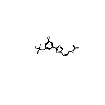 CC(C)OC/C=C\n1cnc(-c2cc(Cl)cc(OC(F)(F)F)c2)n1